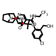 CC(C)(Oc1ccc(Cl)cc1CO)C(=O)NC1CC2CCC(C1)N2c1ccc(C(=O)NCC(F)(F)F)cn1